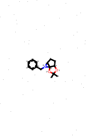 CC1(C)OC2CCC3N(Cc4ccccc4)C23O1